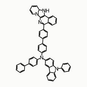 C1=CC2Nc3c(nc(-c4ccc(-c5ccc(N(c6ccc(-c7ccccc7)cc6)c6ccc7c(c6)c6ccccc6n7-c6ccccc6)cc5)cc4)c4ccccc34)N2C=C1